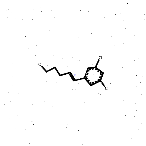 [O]CCC/C=C/c1cc(Cl)cc(Cl)c1